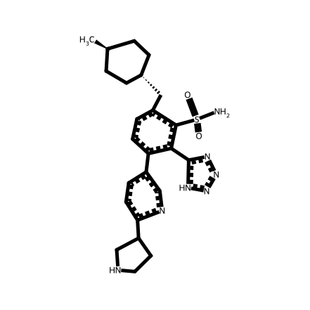 C[C@H]1CC[C@H](Cc2ccc(-c3ccc(C4CCNC4)nc3)c(-c3nnn[nH]3)c2S(N)(=O)=O)CC1